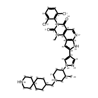 Cn1c(=O)n(-c2c(Cl)cccc2Cl)c(=O)c2cnc3[nH]c(-c4cnn([C@@H]5CCN(CC6CCC7(CCNCC7)CC6)C[C@@H]5F)c4)cc3c21